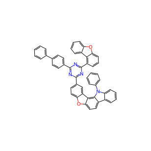 c1ccc(-c2ccc(-c3nc(-c4ccc5oc6ccc7c8ccccc8n(-c8ccccc8)c7c6c5c4)nc(-c4cccc5oc6ccccc6c45)n3)cc2)cc1